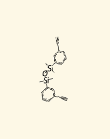 C#Cc1cccc([Si](C)(C)O[Si](C)(C)c2cccc(C#C)c2)c1